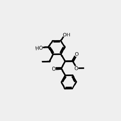 CCc1c(O)cc(O)cc1C(C(=O)OC)C(=O)c1ccccc1